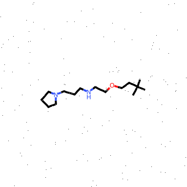 CC(C)(C)CCOCCNCCCN1CCCC1